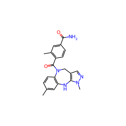 Cc1ccc2c(c1)Nc1c(cnn1C)CN2C(=O)c1ccc(C(N)=O)cc1C